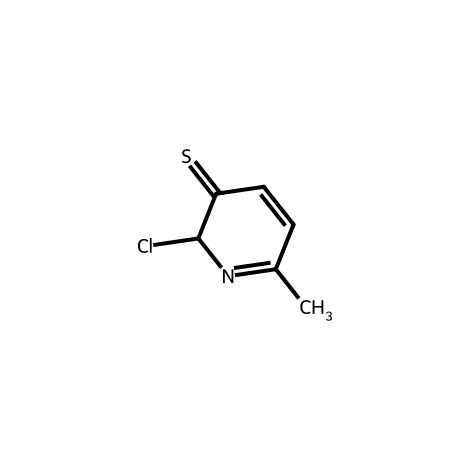 CC1=NC(Cl)C(=S)C=C1